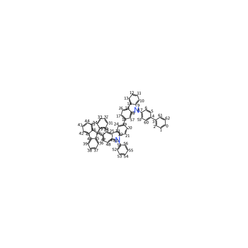 c1ccc(-c2ccc(-n3c4ccccc4c4ccc(-c5ccc6c(c5)c5cc(C7(c8ccccc8)c8ccccc8-c8ccccc87)ccc5n6-c5ccccc5)cc43)cc2)cc1